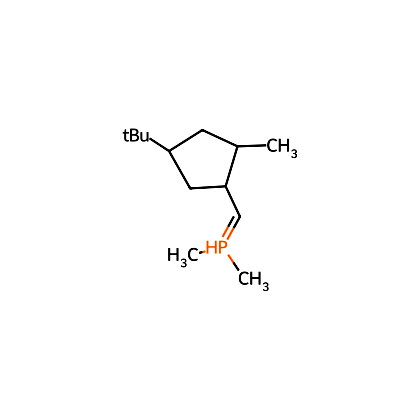 CC1CC(C(C)(C)C)CC1C=[PH](C)C